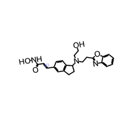 O=C(/C=C/c1ccc2c(c1)CCC2N(CCO)CCc1nc2ccccc2o1)NO